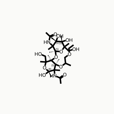 CCOCC(C)O[C@@]1(C)C(C)(NC(C)=O)[C@](C)(O)OC(C)(CO)[C@@]1(C)O[C@]1(C)OC(C)(CO)[C@@](C)(O)[C@@](C)(O)C1(C)NC(C)=O